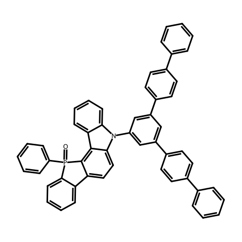 O=P1(c2ccccc2)c2ccccc2-c2ccc3c(c21)c1ccccc1n3-c1cc(-c2ccc(-c3ccccc3)cc2)cc(-c2ccc(-c3ccccc3)cc2)c1